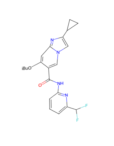 CC(C)COc1cc2nc(C3CC3)cn2cc1C(=O)Nc1cccc(C(F)F)n1